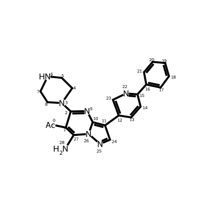 CC(=O)c1c(N2CCNCC2)nc2c(-c3ccc(-c4ccccc4)nc3)cnn2c1N